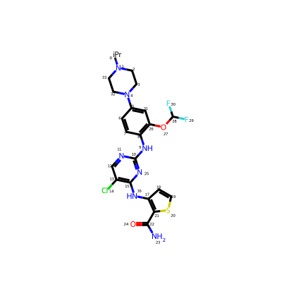 CC(C)N1CCN(c2ccc(Nc3ncc(Cl)c(Nc4ccsc4C(N)=O)n3)c(OC(F)F)c2)CC1